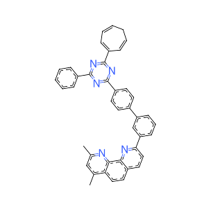 Cc1cc(C)c2ccc3ccc(-c4cccc(-c5ccc(-c6nc(C7=CC=CCC=C7)nc(-c7ccccc7)n6)cc5)c4)nc3c2n1